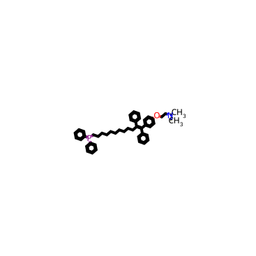 CN(C)CCOc1ccc(/C(=C(/CCCCCCCCCCP(c2ccccc2)c2ccccc2)c2ccccc2)c2ccccc2)cc1